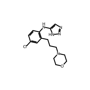 Clc1ccc(Nc2cnn[nH]2)c(CCCN2CCOCC2)c1